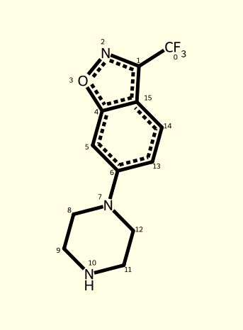 FC(F)(F)c1noc2cc(N3CCNCC3)ccc12